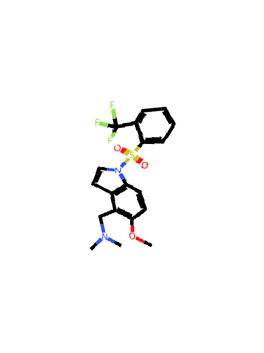 COc1ccc2c(ccn2S(=O)(=O)c2ccccc2C(F)(F)F)c1CN(C)C